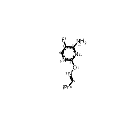 CC(C)C=NOc1ncc(F)c(N)n1